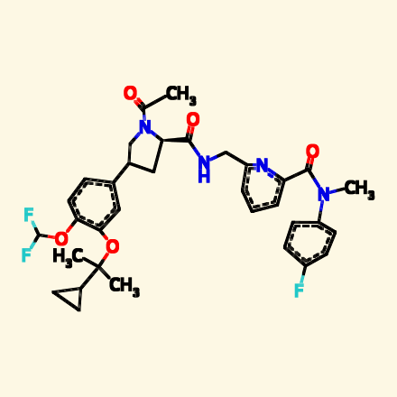 CC(=O)N1CC(c2ccc(OC(F)F)c(OC(C)(C)C3CC3)c2)C[C@@H]1C(=O)NCc1cccc(C(=O)N(C)c2ccc(F)cc2)n1